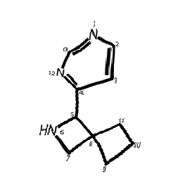 [c]1nccc(C2NCC23CCC3)n1